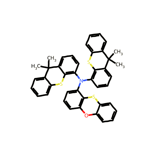 CC1(C)c2ccccc2Sc2c(N(c3cccc4c3Sc3ccccc3O4)c3cccc4c3Sc3ccccc3C4(C)C)cccc21